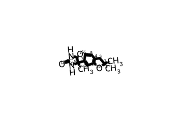 CC1(C)Cc2ccc(C3(C)NC(=O)NC3=O)cc2O1